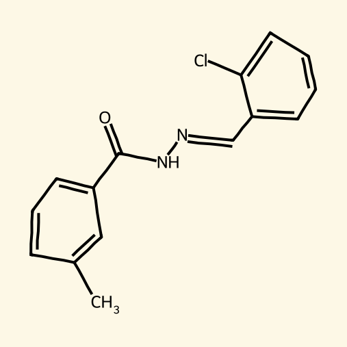 Cc1cccc(C(=O)N/N=C/c2ccccc2Cl)c1